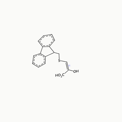 O=C(O)/C(O)=C\SCC1c2ccccc2-c2ccccc21